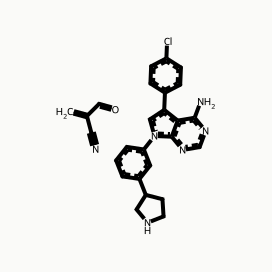 C=C(C#N)C=O.Nc1ncnc2c1c(-c1ccc(Cl)cc1)cn2-c1cccc(C2CCNC2)c1